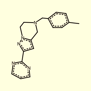 Cc1ccc(CN2CCn3nc(-c4ncccn4)cc3C2)cc1